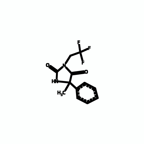 CC1(c2ccccc2)NC(=O)N(CC(F)(F)F)C1=O